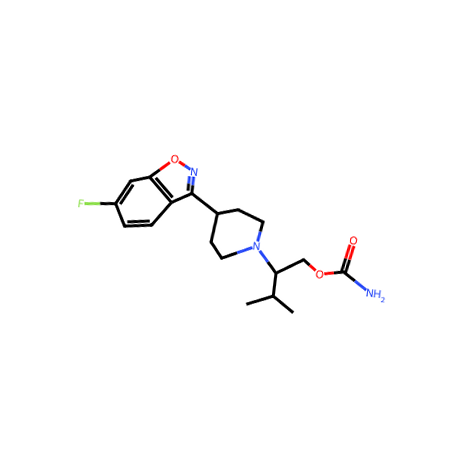 CC(C)C(COC(N)=O)N1CCC(c2noc3cc(F)ccc23)CC1